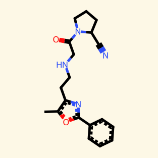 Cc1oc(-c2ccccc2)nc1CCNCC(=O)N1CCCC1C#N